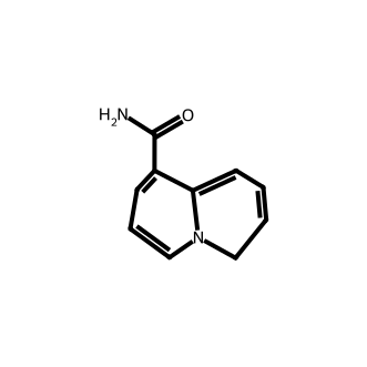 NC(=O)C1=CC=CN2CC=CC=C12